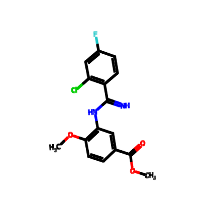 COC(=O)c1ccc(OC)c(NC(=N)c2ccc(F)cc2Cl)c1